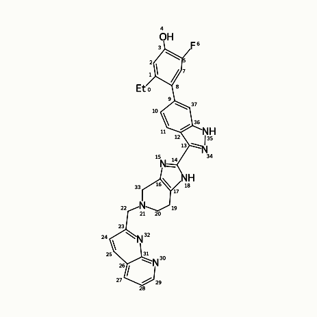 CCc1cc(O)c(F)cc1-c1ccc2c(-c3nc4c([nH]3)CCN(Cc3ccc5cccnc5n3)C4)n[nH]c2c1